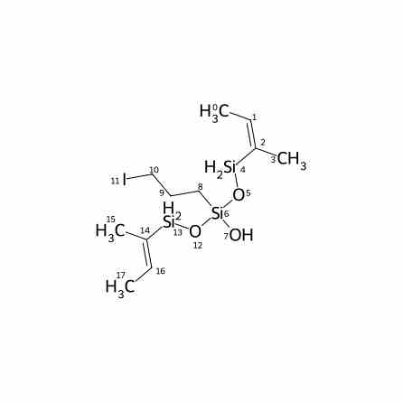 CC=C(C)[SiH2]O[Si](O)(CCCI)O[SiH2]C(C)=CC